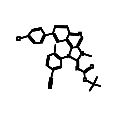 Cc1ccc(C#N)cc1-n1c(=NC(=O)OC(C)(C)C)n(C)c2cnc3ccc(-c4ccc(Cl)cc4)cc3c21